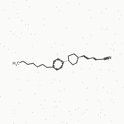 CCCCCCCc1ccc([C@H]2CC[C@H](C=CC=CC#N)CC2)cc1